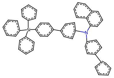 c1ccc(-c2ccc(N(c3ccc(-c4ccc([Si](c5ccccc5)(c5ccccc5)c5ccccc5)cc4)cc3)c3cccc4ccccc34)cc2)cc1